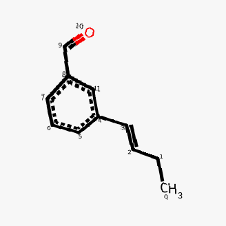 CC/C=C/c1cccc(C=O)c1